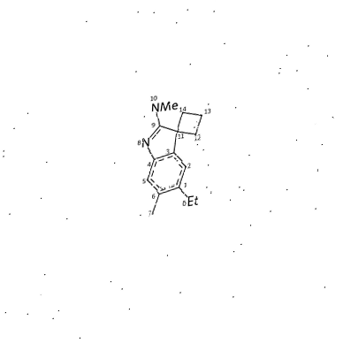 CCc1cc2c(cc1C)N=C(NC)C21CCC1